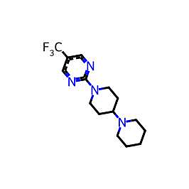 FC(F)(F)c1cnc(N2CCC(N3CCCCC3)CC2)nc1